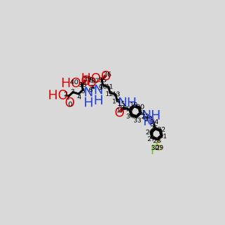 O=C(O)CCC(NC(=O)NC(CCCCNC(=O)c1ccc(N/N=C/c2ccc(SF)cc2)cc1)C(=O)O)C(=O)O